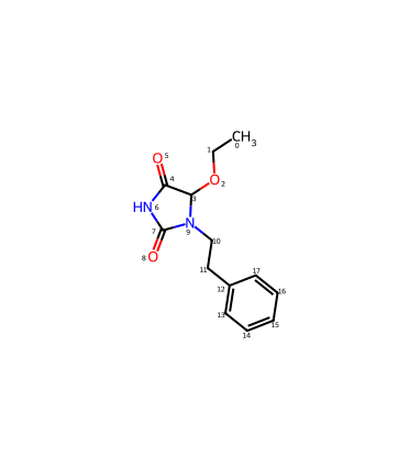 CCOC1C(=O)NC(=O)N1CCc1ccccc1